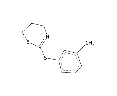 Cc1cccc(SC2=NCCCS2)c1